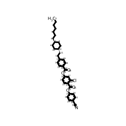 CCCCCCC[C@H]1CC[C@H](CCc2ccc(C(=O)Oc3ccc(C(=O)Oc4ccc(C#N)cc4)c(Cl)c3)cc2)CC1